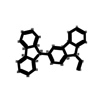 C=Cn1c2ccccc2c2cc(-n3c4ccccc4c4ccccc43)ccc21